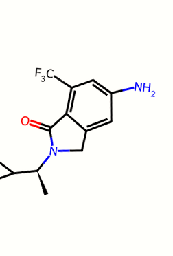 C[C@@H](C1CC1)N1Cc2cc(N)cc(C(F)(F)F)c2C1=O